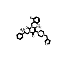 Cc1c(N2CCN(Cc3ccoc3)CC2)c(=O)n(CC(N)c2ccccc2)c(=O)n1Cc1c(F)cccc1C(F)(F)F